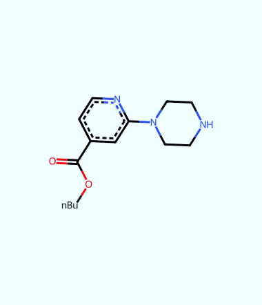 CCCCOC(=O)c1ccnc(N2CCNCC2)c1